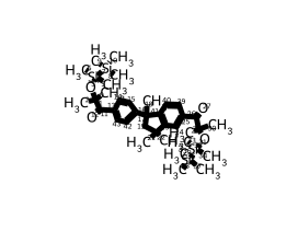 CC(C)(O[Si](C)(C)[Si](C)(C)C)C(=O)c1ccc(C2(C)CC(C)(C)c3cc(C(=O)C(C)(C)O[Si](C)(C)[Si](C)(C)C)ccc32)cc1